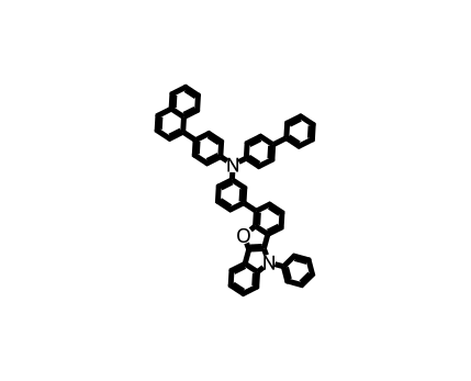 c1ccc(-c2ccc(N(c3ccc(-c4cccc5ccccc45)cc3)c3cccc(-c4cccc5c4oc4c6ccccc6n(-c6ccccc6)c54)c3)cc2)cc1